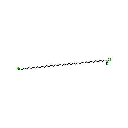 Cl[SiH](Cl)CCCCCCCCCCCCCCCCCCCCCCCCCCCCCCCCCCCCCCBr